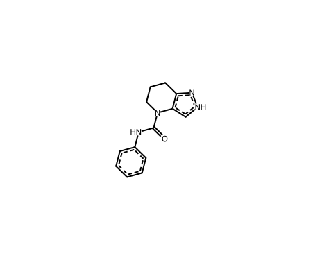 O=C(Nc1ccccc1)N1CCCc2n[nH]cc21